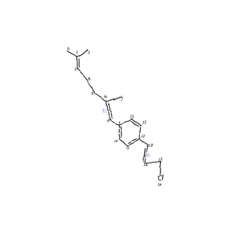 CC(C)=CCC/C(C)=C/c1ccc(/C=C/CCl)cc1